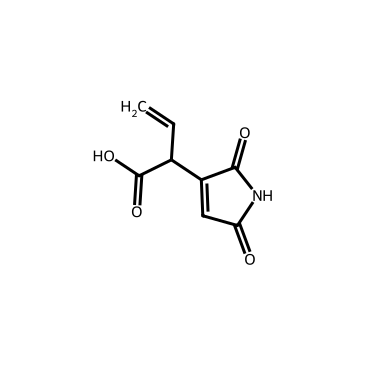 C=CC(C(=O)O)C1=CC(=O)NC1=O